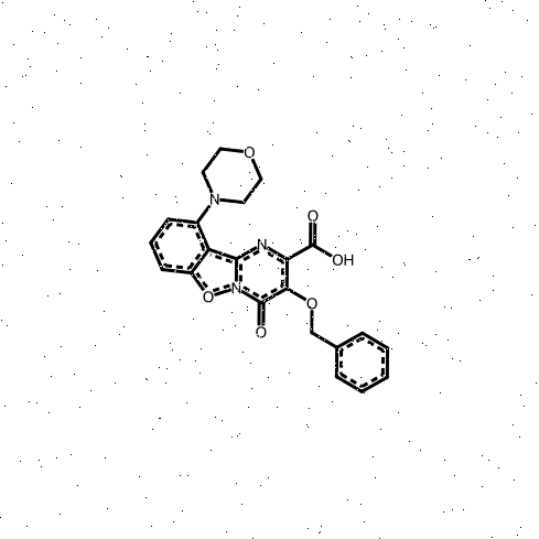 O=C(O)c1nc2c3c(N4CCOCC4)cccc3on2c(=O)c1OCc1ccccc1